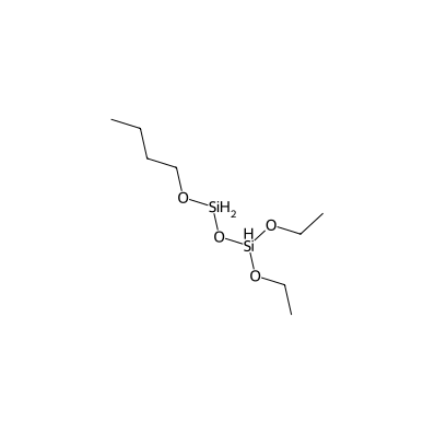 CCCCO[SiH2]O[SiH](OCC)OCC